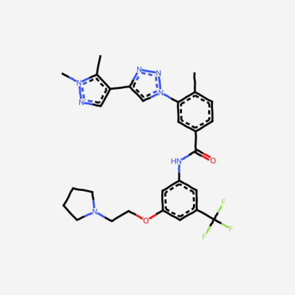 Cc1ccc(C(=O)Nc2cc(OCCN3CCCC3)cc(C(F)(F)F)c2)cc1-n1cc(-c2cnn(C)c2C)nn1